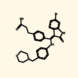 O=C(O)CCc1ccc(/C(Nc2ccc(CN3CCOCC3)cc2)=C2/C(=O)Nc3cc(Br)ccc32)cc1